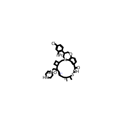 CCCc1cc(Cl)ccc1C1COc2ccc3cc2N(C1)CC1CCC1C(CN1CCNCC1)(OC)/C=C/C[C@H](C)C(C)SNC3=O